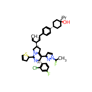 C=CC(CCc1ccc([C@H]2CC[C@](O)(C(C)C)CC2)cc1)[C@H]1CC2=C(c3ccn(C(C)F)n3)[C@H](c3ccc(F)cc3Cl)N=C(C3CC=CS3)N2C1